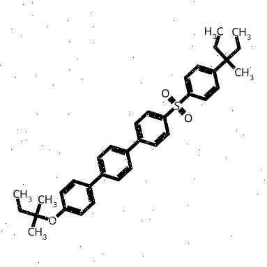 CCC(C)(C)Oc1ccc(-c2ccc(-c3ccc(S(=O)(=O)c4ccc(C(C)(CC)CC)cc4)cc3)cc2)cc1